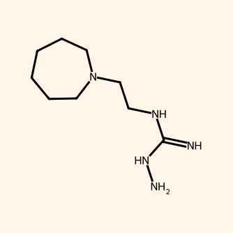 N=C(NN)NCCN1CCCCCC1